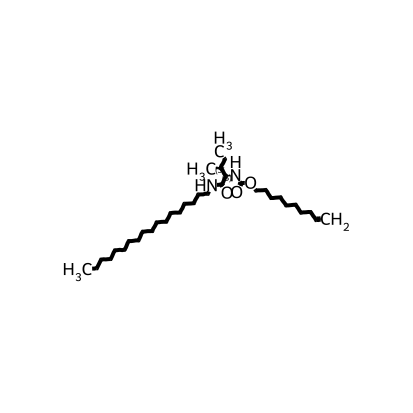 C=CCCCCCCCCOC(=O)N[C@H](C(=O)NCCCCCCCCCCCCCCCCCC)[C@@H](C)CC